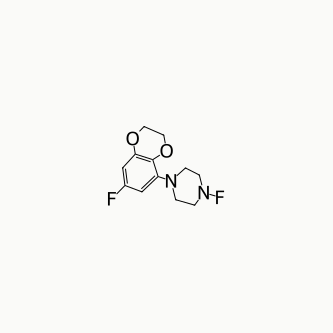 Fc1cc2c(c(N3CCN(F)CC3)c1)OCCO2